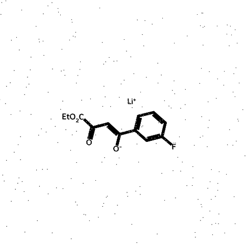 CCOC(=O)C(=O)C=C([O-])c1cccc(F)c1.[Li+]